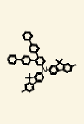 Cc1ccc2c(c1)C(C)(C)c1cc(N(c3ccc(-c4ccc(-c5ccccc5)cc4)c(-c4ccc(-c5ccccc5)cc4)c3)c3ccc4c(c3)C(C)(C)c3cc(C)ccc3-4)ccc1-2